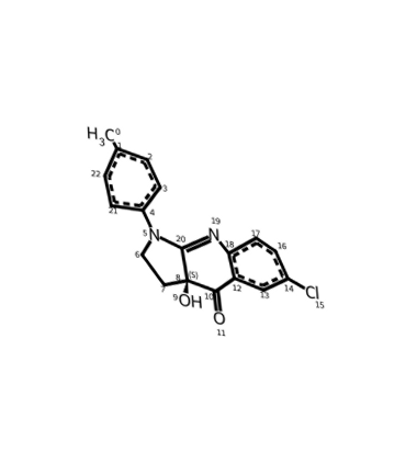 Cc1ccc(N2CC[C@@]3(O)C(=O)c4cc(Cl)ccc4N=C23)cc1